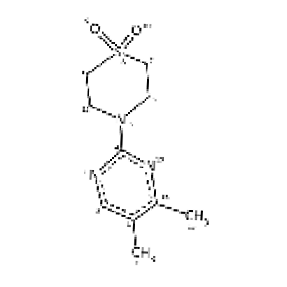 Cc1cnc(N2CCS(=O)(=O)CC2)nc1C